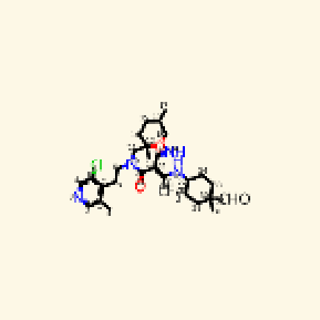 Cc1cncc(Cl)c1CCN(CC1(C)CCC(C)CO1)C(=O)/C(C=N)=C(/NC1CCC(C)(C=O)CC1)C(F)(F)F